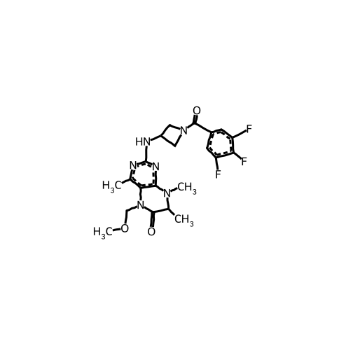 COCN1C(=O)C(C)N(C)c2nc(NC3CN(C(=O)c4cc(F)c(F)c(F)c4)C3)nc(C)c21